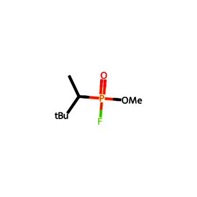 COP(=O)(F)C(C)C(C)(C)C